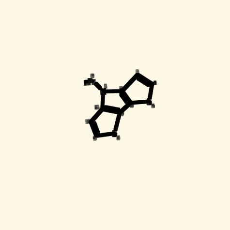 CCCn1c2ccsc2c2sccc21